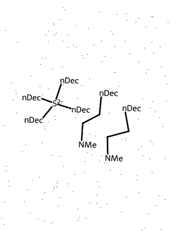 CCCCCCCCCCCC[NH2+]C.CCCCCCCCCCCC[NH2+]C.CCCCCCCCCC[S-2](CCCCCCCCCC)(CCCCCCCCCC)CCCCCCCCCC